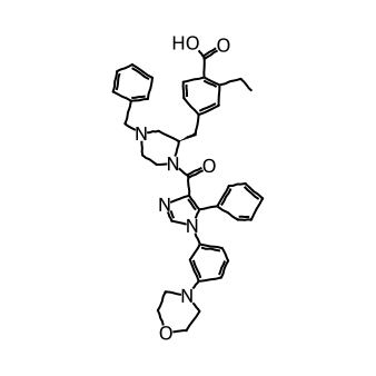 CCc1cc(C[C@@H]2CN(Cc3ccccc3)CCN2C(=O)c2ncn(-c3cccc(N4CCOCC4)c3)c2-c2ccccc2)ccc1C(=O)O